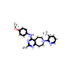 CC(C)c1nc2c(c(Nc3ccc(OC(F)(F)F)cc3)n1)CCN(c1ncccc1C(F)(F)F)CC2